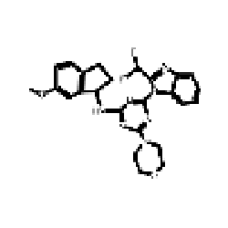 COc1ccc2c(c1)C(Nc1nc(N3CCOCC3)nc(-n3c(C(F)F)nc4ccccc43)n1)CC2